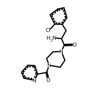 NC(Cc1ccccc1Cl)C(=O)N1CCN(C(=O)c2ccccn2)CC1